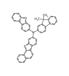 CC1(C)c2ccccc2-c2ccc(N(c3ccc4c(c3)oc3ccccc34)c3ccc4c(c3)sc3c5ccccc5ccc43)cc21